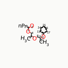 CCCC(=O)OCC(C)OCC(C)Oc1ccccc1